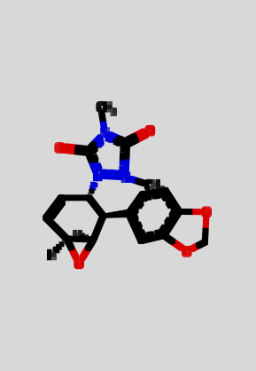 Cn1c(=O)n(C)n([C@H]2C=C[C@@H]3O[C@@H]3[C@@H]2c2ccc3c(c2)OCO3)c1=O